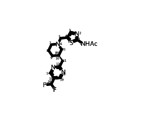 CC(=O)Nc1ncc(CN2CCC[C@H](Cc3ncc(C(F)F)cn3)C2)s1